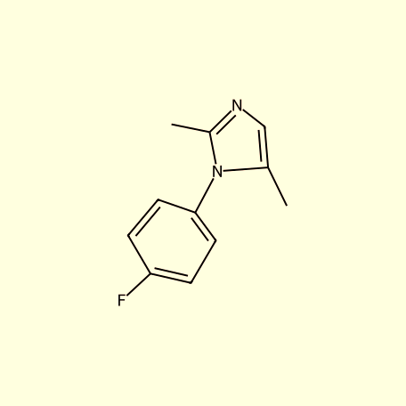 Cc1cnc(C)n1-c1ccc(F)cc1